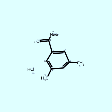 CNC(=O)c1cc(C)cc(C)c1.Cl